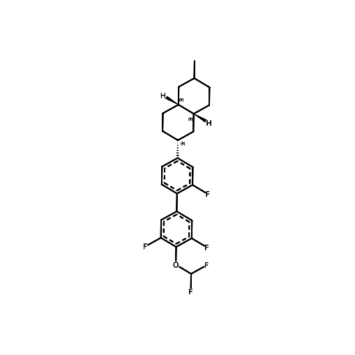 CC1CC[C@@H]2C[C@H](c3ccc(-c4cc(F)c(OC(F)F)c(F)c4)c(F)c3)CC[C@@H]2C1